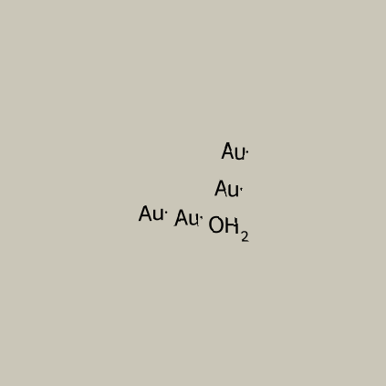 O.[Au].[Au].[Au].[Au]